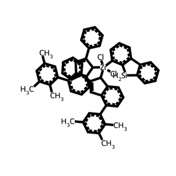 Cc1cc(C)c(C)c(-c2cccc3c2C=C(c2ccccc2)[CH]3[Zr]([Cl])([Cl])([c]2cccc3c2[SiH2]c2ccccc2-3)[CH]2C(c3ccccc3)=Cc3c(-c4cc(C)cc(C)c4C)cccc32)c1